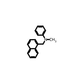 CN(Cc1cccc2ccccc12)c1ccccc1